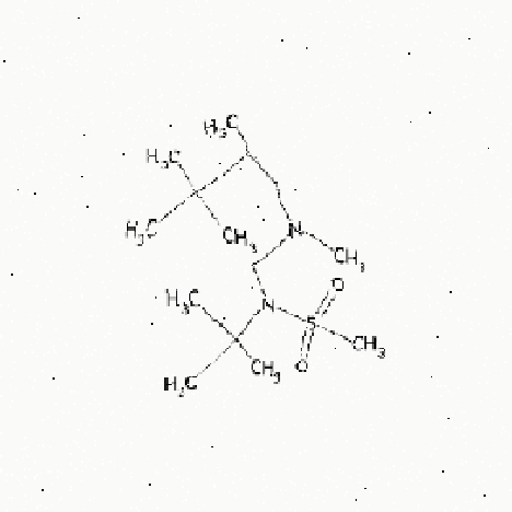 CC(CN(C)CN(C(C)(C)C)S(C)(=O)=O)C(C)(C)C